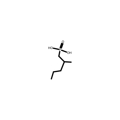 CCCC(C)CP(=O)(O)O